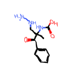 CC(CNN)(NC(=O)O)C(=O)c1ccccc1